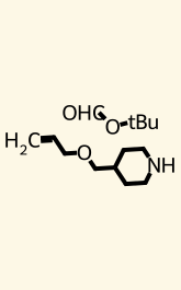 C=CCOCC1CCNCC1.CC(C)(C)OC=O